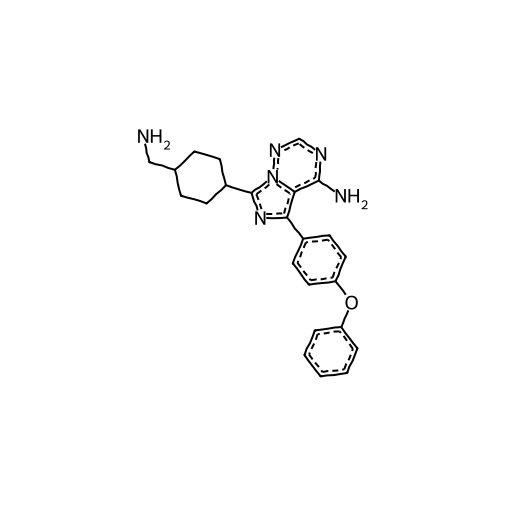 NCC1CCC(c2nc(-c3ccc(Oc4ccccc4)cc3)c3c(N)ncnn23)CC1